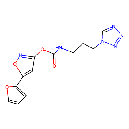 O=C(NCCCn1cnnn1)Oc1cc(-c2ccco2)on1